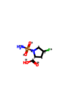 NS(=O)(=O)N1CCC(F)C1.O=CO